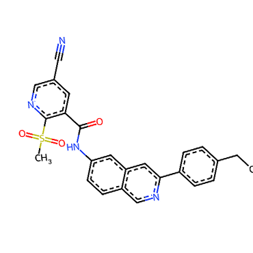 CCc1ccc(-c2cc3cc(NC(=O)c4cc(C#N)cnc4S(C)(=O)=O)ccc3cn2)cc1